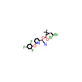 CC1(C)[C@H](C(=O)OC(C#N)c2cccc(Oc3c(F)cc(F)cc3F)n2)[C@@H]1C=C(Br)Br